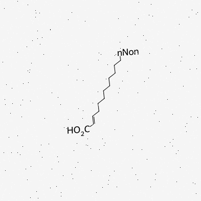 CCCCCCCCCCCCCCCCCCC=CC(=O)O